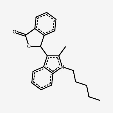 CCCCCn1c(C)c(C2OC(=O)c3ccccc32)c2ccccc21